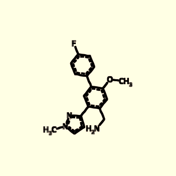 COc1cc(CN)c(-c2ccn(C)n2)cc1-c1ccc(F)cc1